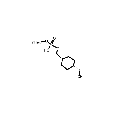 CCCCCCOP(=O)(O)OC[C@H]1CC[C@H](CO)CC1